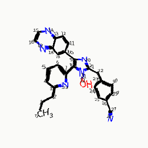 CCCc1cccc(-c2c(-c3ccc4nccnc4c3)nc(Cc3ccc(C#N)cc3)n2O)n1